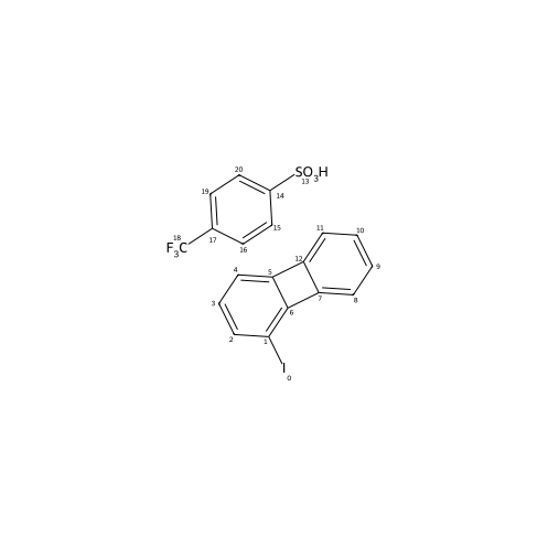 Ic1cccc2c1-c1ccccc1-2.O=S(=O)(O)c1ccc(C(F)(F)F)cc1